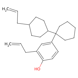 C=CCc1cc(C2(C3CCC(CC=C)CC3)CCCCC2)ccc1O